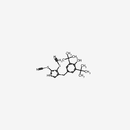 CC(C)(C)c1cc(Cc2c[nH]c(SC#N)c2SC#N)cc(C(C)(C)C)c1O